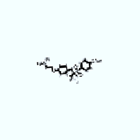 CCN(CC)CCOc1ccc(CC(C)(C(N)=O)S(=O)(=O)c2ccc(OC)cc2)cc1